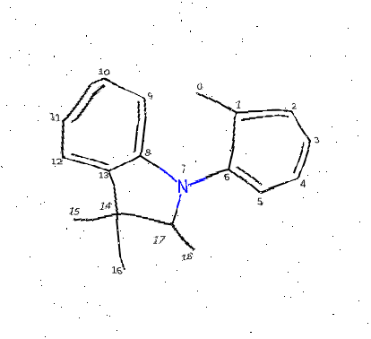 Cc1ccccc1N1c2ccccc2C(C)(C)C1C